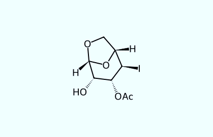 CC(=O)O[C@@H]1[C@H](O)[C@@H]2OC[C@@H](O2)[C@H]1I